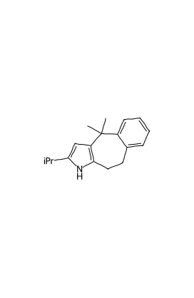 CC(C)c1cc2c([nH]1)CCc1ccccc1C2(C)C